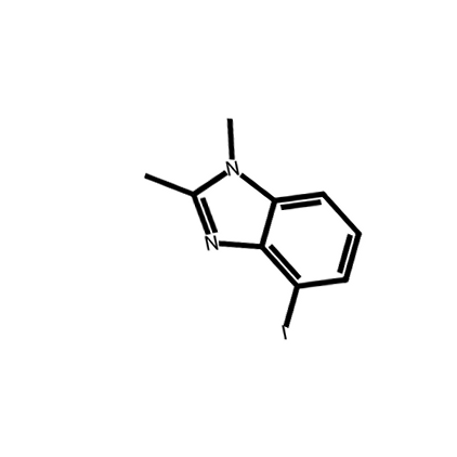 Cc1nc2c(I)cccc2n1C